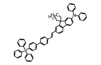 CCC1(CC)c2cc(/C=C/c3ccc(-c4ccc([Si](c5ccccc5)(c5ccccc5)c5ccccc5)cc4)cc3)ccc2-c2ccc(N(c3ccccc3)c3ccccc3)cc21